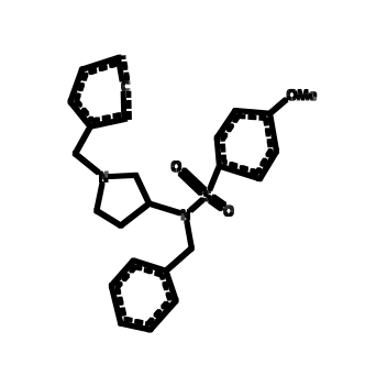 COc1ccc(S(=O)(=O)N(Cc2ccccc2)C2CCN(Cc3ccccc3)C2)cc1